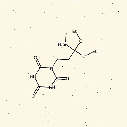 CCOC(CCn1c(=O)[nH]c(=O)[nH]c1=O)(OCC)[SiH2]C